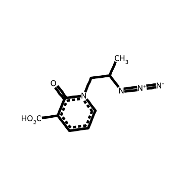 CC(Cn1cccc(C(=O)O)c1=O)N=[N+]=[N-]